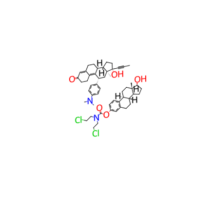 CC#C[C@]1(O)CC[C@H]2[C@@H]3CCC4=CC(=O)CCC4=C3[C@@H](c3ccc(N(C)C)cc3)C[C@@]21C.C[C@]12CC[C@@H]3c4ccc(OC(=O)N(CCCl)CCCl)cc4CC[C@H]3[C@@H]1CC[C@@H]2O